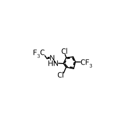 FC(F)(F)C=NNc1c(Cl)cc(C(F)(F)F)cc1Cl